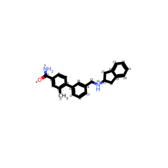 Cc1cc(C(N)=O)ccc1-c1cccc(CNC2Cc3ccccc3C2)c1